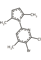 Cc1cc(-n2c(C)ccc2C)nc(Cl)c1Br